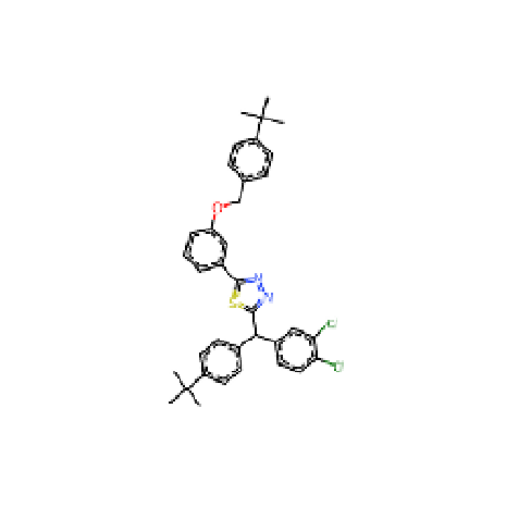 CC(C)(C)c1ccc(COc2cccc(-c3nnc(C(c4ccc(C(C)(C)C)cc4)c4ccc(Cl)c(Cl)c4)s3)c2)cc1